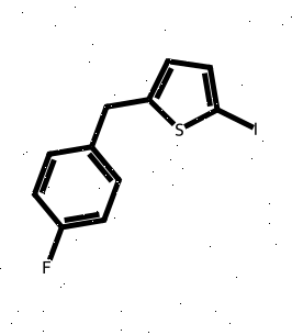 Fc1ccc(Cc2ccc(I)s2)cc1